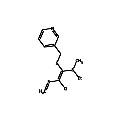 C=N/C(Cl)=C(\SCc1cccnc1)N(C)CC